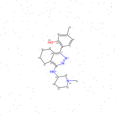 Cc1ccc(-c2nnc(NC3CCCN(C)C3)c3c2CCCC3)c(O)c1